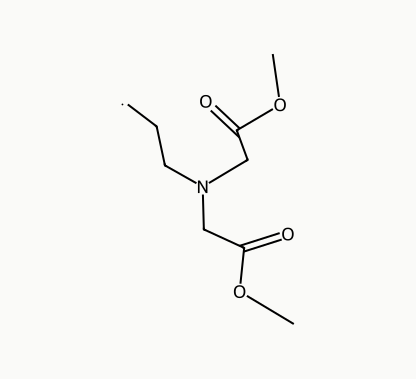 [CH2]CCN(CC(=O)OC)CC(=O)OC